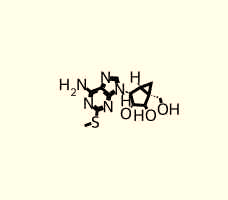 CSc1nc(N)c2ncn([C@@H]3[C@H]4C[C@@]4(CO)C(O)[C@@H]3O)c2n1